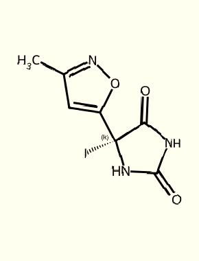 Cc1cc([C@]2(I)NC(=O)NC2=O)on1